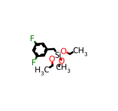 CCO[Si](Cc1cc(F)cc(F)c1)(OC)OCC